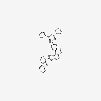 C1=Cc2c(oc3ccccc23)C(C2Nc3c(ccc4ccc5cc(C6N=C(c7ccccc7)C=C(c7ccccc7)N6)ccc5c34)S2)C1